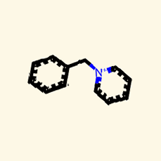 [c]1ccccc1C[n+]1ccccc1